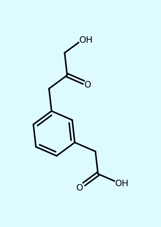 O=C(O)Cc1cccc(CC(=O)CO)c1